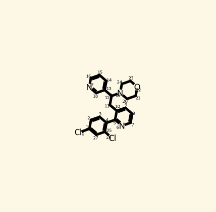 Clc1ccc(-c2ncccc2[CH][C](c2cccnc2)N2CCOCC2)c(Cl)c1